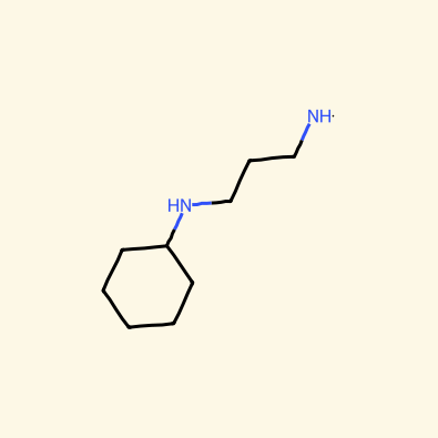 [NH]CCCNC1CCCCC1